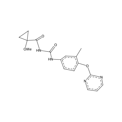 COC1(C(=O)NC(=O)Nc2ccc(Oc3ncccn3)c(C)c2)CC1